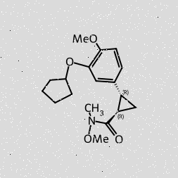 COc1ccc([C@@H]2C[C@H]2C(=O)N(C)OC)cc1OC1CCCC1